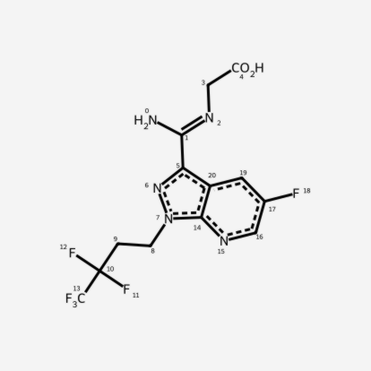 NC(=NCC(=O)O)c1nn(CCC(F)(F)C(F)(F)F)c2ncc(F)cc12